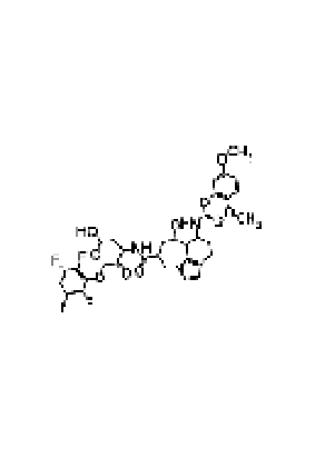 COc1ccc(OC)c(OC(=O)NC2CCc3ccn4c3C2C(=O)CC(C(=O)NC(CC(=O)O)C(=O)COc2c(F)c(F)cc(F)c2F)C4)c1